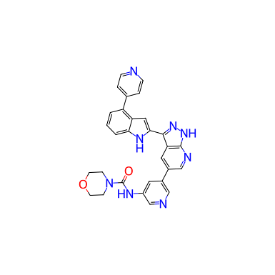 O=C(Nc1cncc(-c2cnc3[nH]nc(-c4cc5c(-c6ccncc6)cccc5[nH]4)c3c2)c1)N1CCOCC1